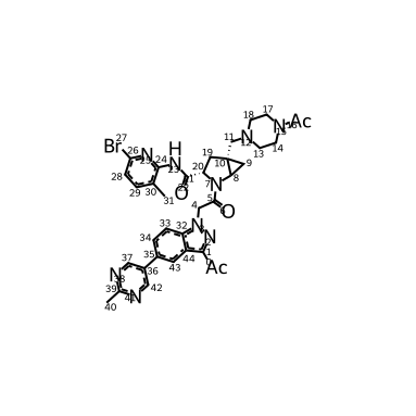 CC(=O)c1nn(CC(=O)N2C3C[C@]3(CN3CCN(C(C)=O)CC3)C[C@H]2C(=O)Nc2nc(Br)ccc2C)c2ccc(-c3cnc(C)nc3)cc12